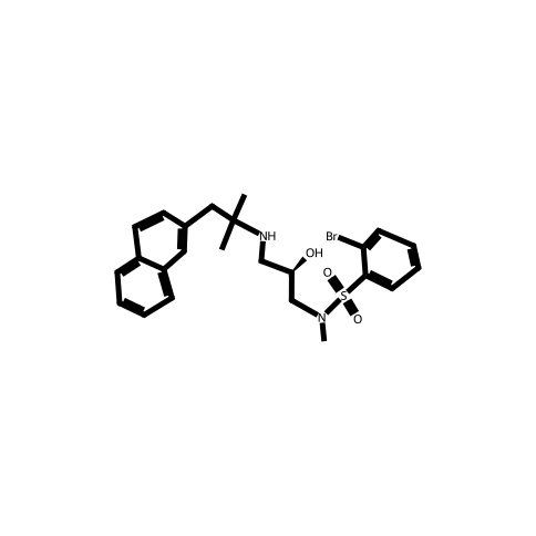 CN(C[C@H](O)CNC(C)(C)Cc1ccc2ccccc2c1)S(=O)(=O)c1ccccc1Br